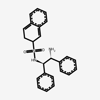 N[C@H](c1ccccc1)[C@H](NS(=O)(=O)C1C=c2ccccc2=CC1)c1ccccc1